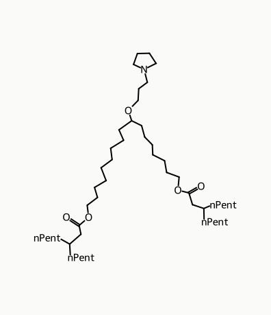 CCCCCC(CCCCC)CC(=O)OCCCCCCCCCC(CCCCCCCOC(=O)CC(CCCCC)CCCCC)OCCCN1CCCC1